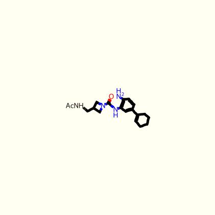 CC(=O)NCC1CN(C(=O)Nc2cc(C3=CCCCC3)ccc2N)C1